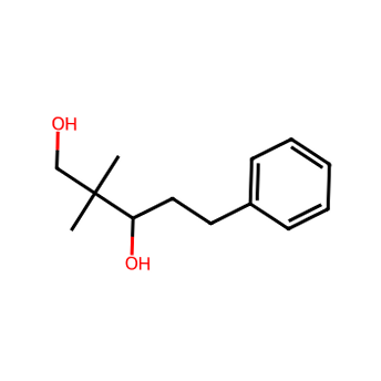 CC(C)(CO)C(O)CCc1ccccc1